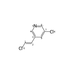 ClC=Cc1cn[c]c(Cl)c1